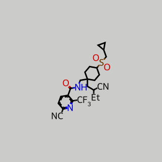 CCC(C#N)CC1(CNC(=O)c2ccc(C#N)nc2C(F)(F)F)CCC(S(=O)(=O)CC2CC2)CC1